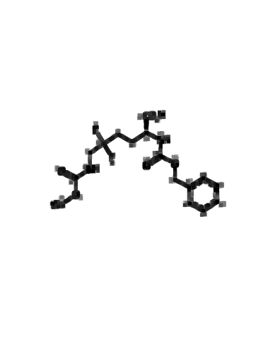 CC(C)(C)OC(=O)NCC(F)(F)CC[C@H](NC(=O)OCc1ccccc1)C(=O)O